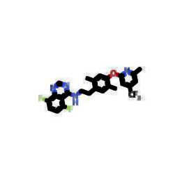 Cc1cc(C(F)(F)F)cc(Oc2cc(C)c(CCNc3ncnc4c(F)ccc(F)c34)cc2C)n1